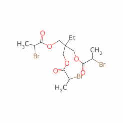 CCC(COC(=O)C(C)Br)(COC(=O)C(C)Br)COC(=O)C(C)Br